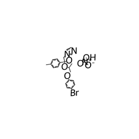 Cc1ccc(C2(Cn3ccnc3)OCC(COc3ccc(Br)cc3)O2)cc1.O=[N+]([O-])O